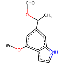 CC(C)Oc1cc(C(C)OC=O)cc2[nH]ccc12